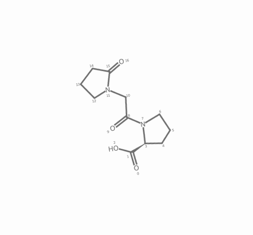 O=C(O)[C@@H]1CCCN1C(=O)CN1CCCC1=O